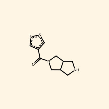 O=C(c1cnsc1)N1CC2CNCC2C1